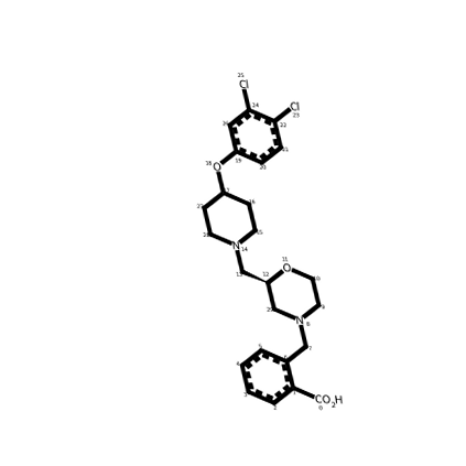 O=C(O)c1ccccc1CN1CCO[C@H](CN2CCC(Oc3ccc(Cl)c(Cl)c3)CC2)C1